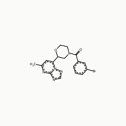 Cc1cc(C2CN(C(=O)c3cccc(Br)c3)CCO2)n2ncnc2n1